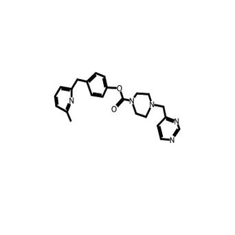 Cc1cccc(Cc2ccc(OC(=O)N3CCN(Cc4ccncn4)CC3)cc2)n1